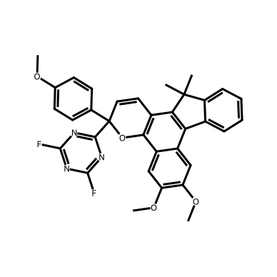 COc1ccc(C2(c3nc(F)nc(F)n3)C=Cc3c4c(c5cc(OC)c(OC)cc5c3O2)-c2ccccc2C4(C)C)cc1